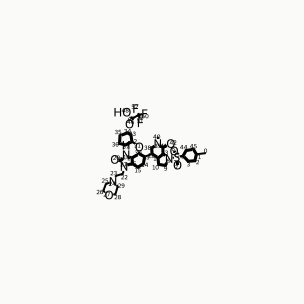 Cc1ccc(S(=O)(=O)n2ccc3c(-c4ccc5c([nH]c(=O)n5CCN5CCOCC5)c4Oc4ccccc4)cn(C)c(=O)c32)cc1.O=C(O)C(F)(F)F